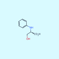 O=C(O)[C@@H](CO)Nc1ccccc1